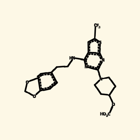 O=C(O)OC1CCN(c2nc(NCCc3ccc4c(c3)OCO4)c3cc(C(F)(F)F)sc3n2)CC1